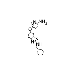 Nc1ccc(Oc2ccc3nc(NCC4CCCCC4)sc3c2)nn1